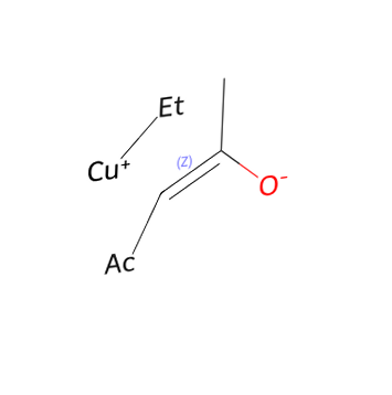 CC(=O)/C=C(/C)[O-].C[CH2][Cu+]